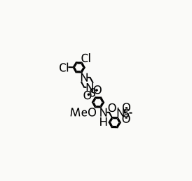 COc1cc(S(=O)(=O)N2CCN(c3cc(Cl)cc(Cl)c3)CC2)ccc1NC(=O)c1ccccc1N(C)S(C)(=O)=O